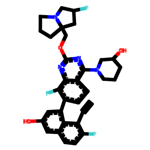 C#Cc1c(F)ccc2cc(O)cc(-c3ccc4c(N5CCCC(O)C5)nc(OCC56CCCN5CC(F)C6)nc4c3F)c12